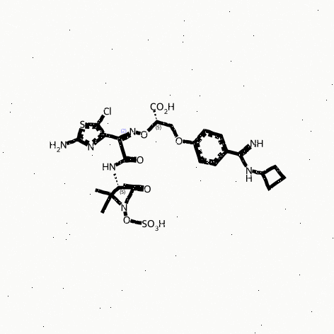 CC1(C)[C@H](NC(=O)/C(=N\O[C@@H](COc2ccc(C(=N)NC3CCC3)cc2)C(=O)O)c2nc(N)sc2Cl)C(=O)N1OS(=O)(=O)O